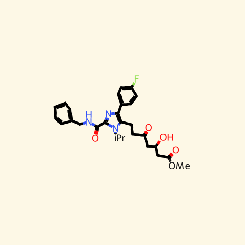 COC(=O)CC(O)CC(=O)CCc1c(-c2ccc(F)cc2)nc(C(=O)NCc2ccccc2)n1C(C)C